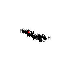 Cc1cc(NC(=O)c2ncc(-c3cn(C4CC4(F)F)nc3C(F)(F)F)n2C)ccc1C(=O)N[C@H]1[C@@H]2CN(C(=O)NC3CNC[C@@H]3O)C[C@@H]21